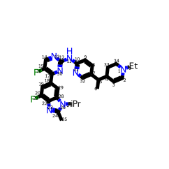 CCN1C=CC(C(C)c2ccc(Nc3ncc(F)c(-c4cc(F)c5nc(C)n(C(C)C)c5c4)n3)nc2)CC1